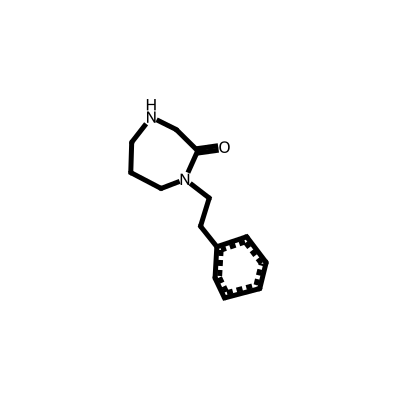 O=C1CNCCCN1CCc1ccccc1